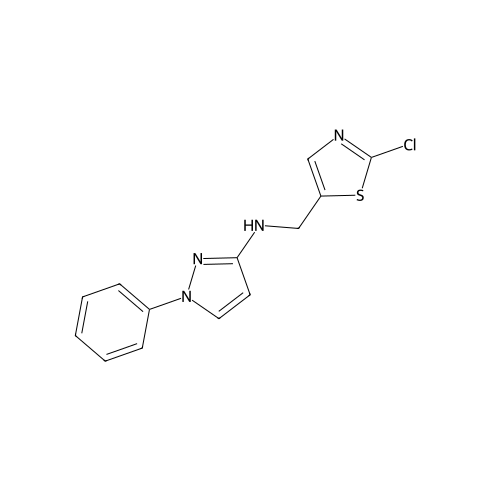 Clc1ncc(CNc2ccn(-c3ccccc3)n2)s1